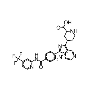 N[N+]12C=CN=CC1=C(C1CCNC(C(=O)O)C1)N=C2c1ccc(C(=O)Nc2cc(C(F)(F)F)ccn2)cc1